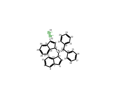 C1=C[CH]([Zr+2]([CH]2C=Cc3ccccc32)[CH](c2ccccc2)c2ccccc2)c2ccccc21.[Br-].[Br-]